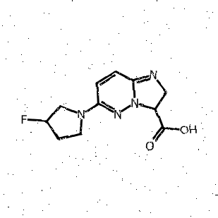 O=C(O)C1CN=C2C=CC(N3CCC(F)C3)=NN21